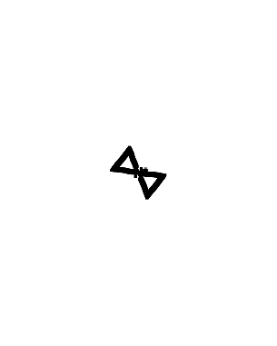 C1C[N+]12CC2